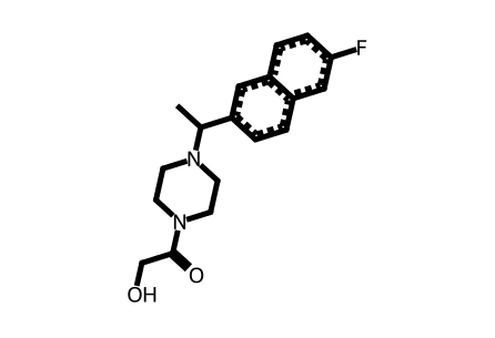 CC(c1ccc2cc(F)ccc2c1)N1CCN(C(=O)CO)CC1